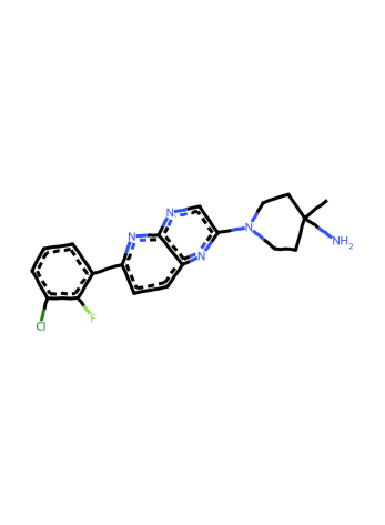 CC1(N)CCN(c2cnc3nc(-c4cccc(Cl)c4F)ccc3n2)CC1